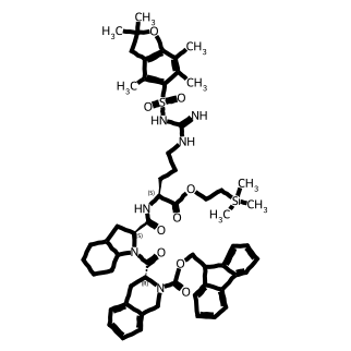 Cc1c(C)c(S(=O)(=O)NC(=N)NCCC[C@H](NC(=O)[C@@H]2CC3CCCCC3N2C(=O)[C@H]2Cc3ccccc3CN2C(=O)OCC2c3ccccc3-c3ccccc32)C(=O)OCC[Si](C)(C)C)c(C)c2c1OC(C)(C)C2